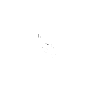 Cc1ccc(C(=O)c2c(C)cn(C)c2C(=O)N2CCC(N3CCCC3)CC2)cc1